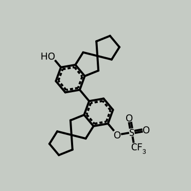 O=S(=O)(Oc1ccc(-c2ccc(O)c3c2CC2(CCCC2)C3)c2c1CC1(CCCC1)C2)C(F)(F)F